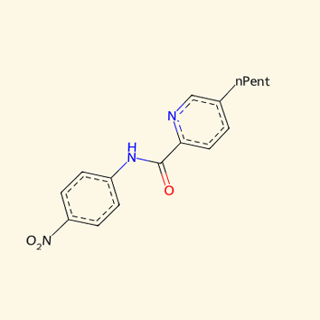 CCCCCc1ccc(C(=O)Nc2ccc([N+](=O)[O-])cc2)nc1